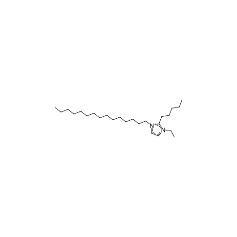 CCCCCCCCCCCCCCC[n+]1ccn(CC)c1CCCCC